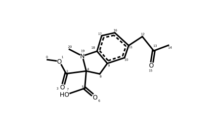 COC(=O)C1(C(=O)O)Cc2cc(CC(C)=O)ccc2N1C